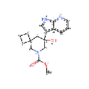 CC(C)(C)OC(=O)N1CC2(CCC2)CC(O)(c2c[nH]c3ncccc23)C1